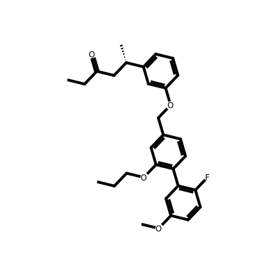 CCCOc1cc(COc2cccc([C@@H](C)CC(=O)CC)c2)ccc1-c1cc(OC)ccc1F